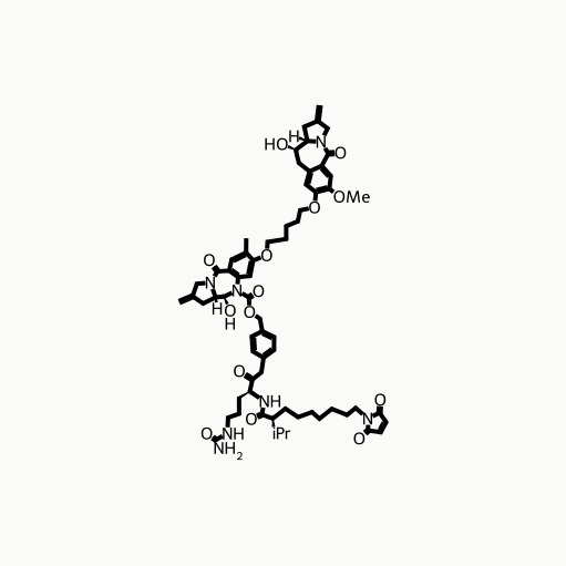 C=C1C[C@H]2[C@H](O)Cc3cc(OCCCCCOc4cc5c(cc4C)C(=O)N4CC(=C)C[C@H]4[C@H](O)N5C(=O)OCc4ccc(CC(=O)[C@H](CCCNC(N)=O)NC(=O)[C@@H](CCCCCCCN5C(=O)C=CC5=O)C(C)C)cc4)c(OC)cc3C(=O)N2C1